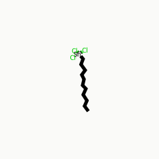 CCCCCCCCCC[CH2][Sn]([Cl])([Cl])[Cl]